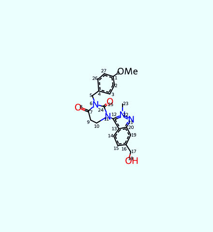 COc1ccc(CN2C(=O)CCN(c3c4ccc(CO)cc4nn3C)C2=O)cc1